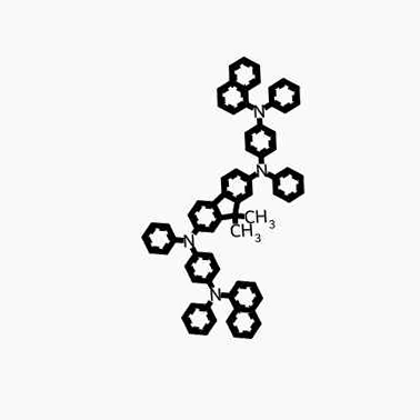 CC1(C)c2cc(N(c3ccccc3)c3ccc(N(c4ccccc4)c4cccc5ccccc45)cc3)ccc2-c2ccc(N(c3ccccc3)c3ccc(N(c4ccccc4)c4cccc5ccccc45)cc3)cc21